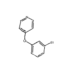 CCc1cccc(Oc2ccncc2)c1